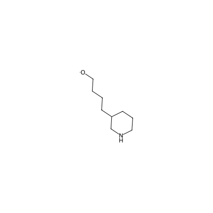 [O]CCCCC1CCCNC1